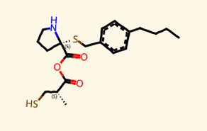 CCCCc1ccc(CS[C@]2(C(=O)OC(=O)[C@H](C)CS)CCCN2)cc1